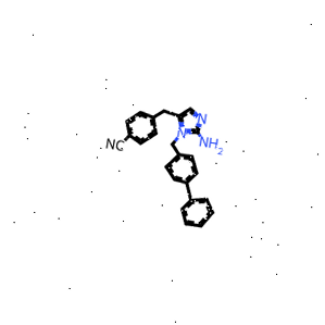 N#Cc1ccc(Cc2cnc(N)n2Cc2ccc(-c3ccccc3)cc2)cc1